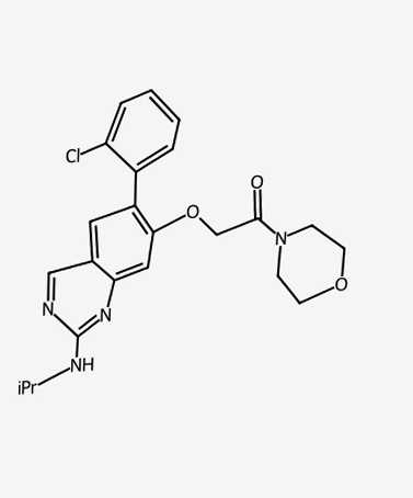 CC(C)Nc1ncc2cc(-c3ccccc3Cl)c(OCC(=O)N3CCOCC3)cc2n1